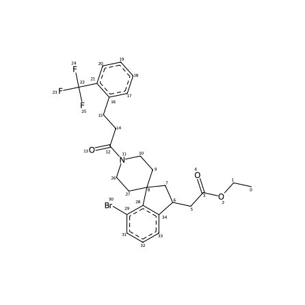 CCOC(=O)CC1CC2(CCN(C(=O)CCc3ccccc3C(F)(F)F)CC2)c2c(Br)cccc21